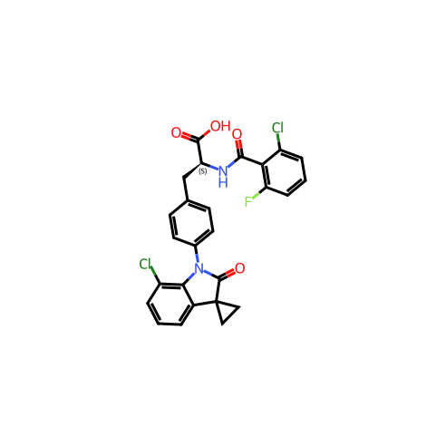 O=C(N[C@@H](Cc1ccc(N2C(=O)C3(CC3)c3cccc(Cl)c32)cc1)C(=O)O)c1c(F)cccc1Cl